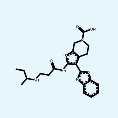 CCC(C)NCCC(=O)Nc1sc2c(c1-c1nc3ccccc3s1)CCN(C(=O)O)C2